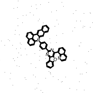 c1ccc2cc3c(cc2c1)-c1cccc2cccc(c12)N3c1ccc(-c2nc(-c3cccc4cccnc34)c3oc4ccccc4c3n2)cc1